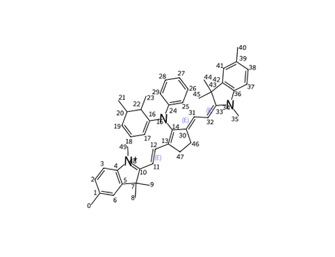 Cc1ccc2c(c1)C(C)(C)C(/C=C/C1=C(N(C3=CC=CC(C)C3C)c3ccccc3)C(=C/C=C3/N(C)c4ccc(C)cc4C3(C)C)/CC1)=[N+]2C